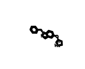 c1ccc(Cn2ncc3cc(O[C@H]4CCNC4)ccc32)cc1